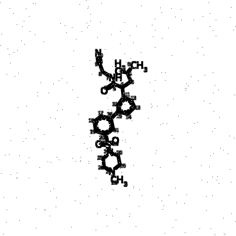 CC(C)CC(C(=O)NCC#N)c1cccc(-c2cccc(S(=O)(=O)N3CCN(C)CC3)c2)c1